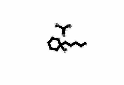 CCCCCC1(O)CCCCC1.O=C(O)O